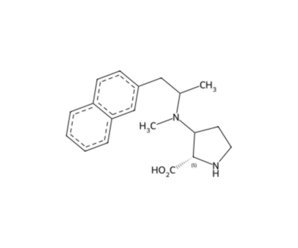 CC(Cc1ccc2ccccc2c1)N(C)C1CCN[C@@H]1C(=O)O